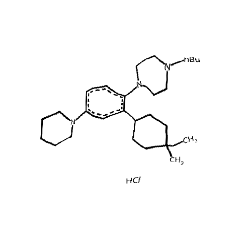 CCCCN1CCN(c2ccc(N3CCCCC3)cc2C2CCC(C)(C)CC2)CC1.Cl